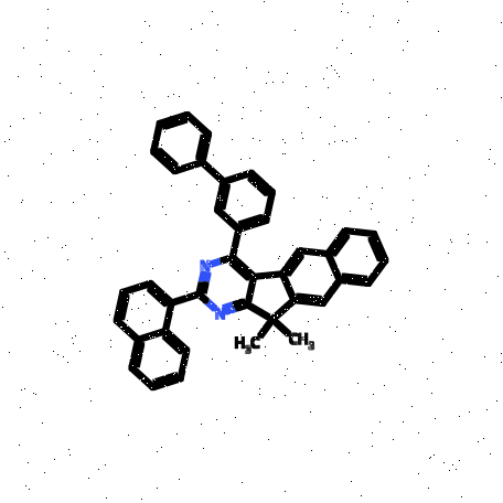 CC1(C)c2cc3ccccc3cc2-c2c(-c3cccc(-c4ccccc4)c3)nc(-c3cccc4ccccc34)nc21